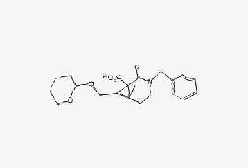 CC12CCN(Cc3ccccc3)C(=O)C1(C(=O)O)C2COC1CCCCO1